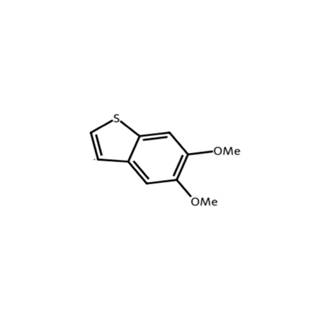 COc1cc2[c]csc2cc1OC